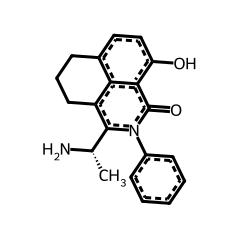 C[C@H](N)c1c2c3c(ccc(O)c3c(=O)n1-c1ccccc1)CCC2